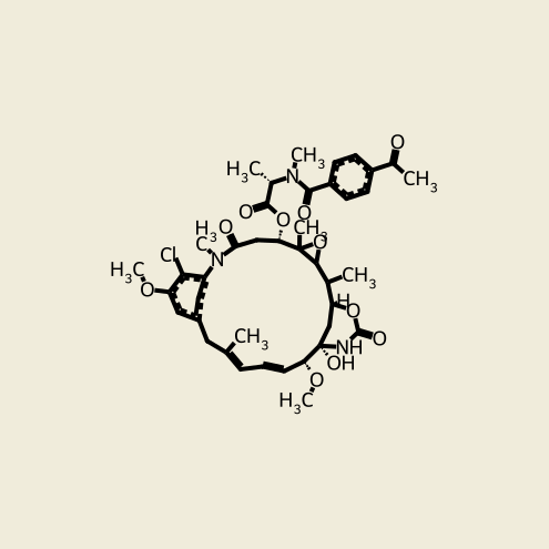 COc1cc2cc(c1Cl)N(C)C(=O)C[C@H](OC(=O)[C@H](C)N(C)C(=O)c1ccc(C(C)=O)cc1)C1(C)OC1C(C)[C@@H]1C[C@@](O)(NC(=O)O1)[C@H](OC)/C=C/C=C(\C)C2